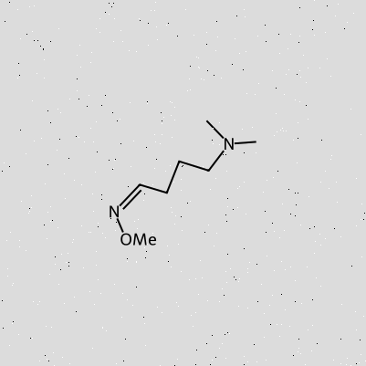 CO/N=C\CCCN(C)C